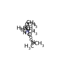 CCCN(CCC)c1ccc2cc(-c3ccc(/C(C)=C(\C#N)C(=O)NC(C)(C)CCOC(C)C)o3)ccc2c1